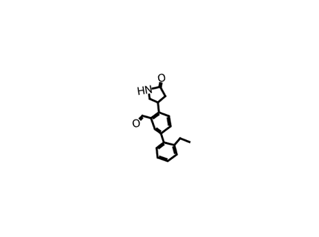 CCc1ccccc1-c1ccc(C2CNC(=O)C2)c(C=O)c1